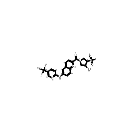 CS(=O)(=O)C1CN(C(=O)c2ccc3cc(Oc4ccc(C(F)(F)F)cn4)ccc3n2)CC1O